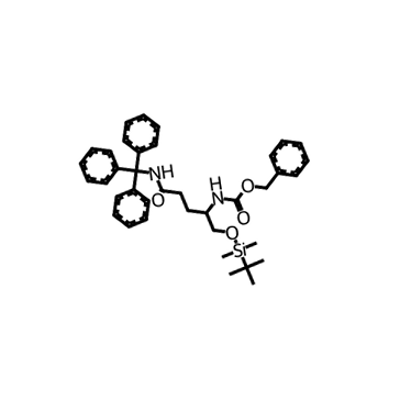 CC(C)(C)[Si](C)(C)OCC(CCC(=O)NC(c1ccccc1)(c1ccccc1)c1ccccc1)NC(=O)OCc1ccccc1